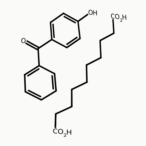 O=C(O)CCCCCCCCC(=O)O.O=C(c1ccccc1)c1ccc(O)cc1